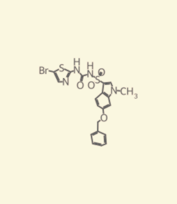 Cn1cc(S(=O)(=O)NC(=O)Nc2ncc(Br)s2)c2ccc(OCc3ccccc3)cc21